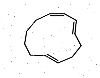 [CH]1C/C=C\C=C\CC/C=C/CC1